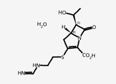 CC(O)[C@H]1C(=O)N2C(C(=O)O)=C(SCCNC=N)C[C@H]12.O